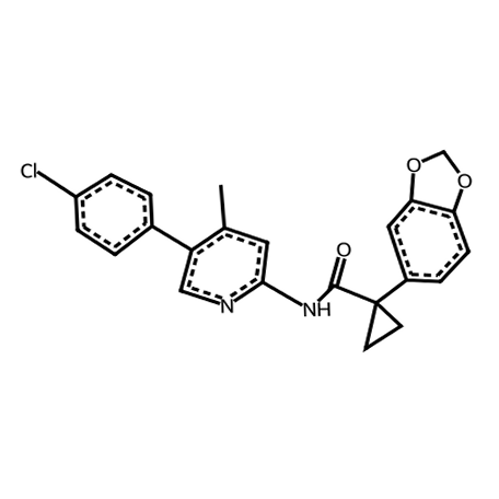 Cc1cc(NC(=O)C2(c3ccc4c(c3)OCO4)CC2)ncc1-c1ccc(Cl)cc1